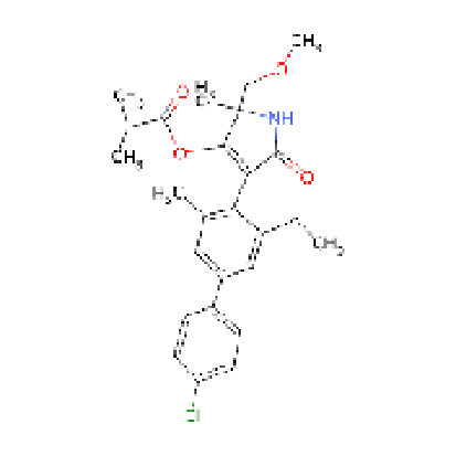 CCc1cc(-c2ccc(Cl)cc2)cc(C)c1C1=C(OC(=O)C(C)C)C(C)(COC)NC1=O